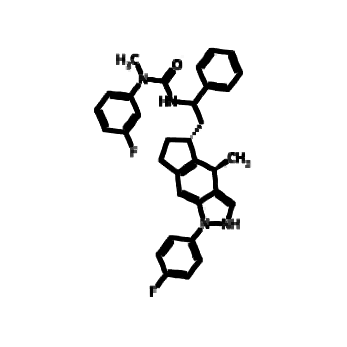 C[C@H]1C2=CNN(c3ccc(F)cc3)C2=CC2=C1[C@@H](CC(NC(=O)N(C)c1cccc(F)c1)c1ccccc1)CC2